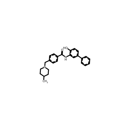 CC1CCN(Cc2ccc(C(=O)Nc3cc(-c4ccccc4)ccc3O)cc2)CC1